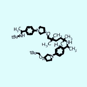 CC(NC(C)(C)C)c1ccc(N2CC[C@H](OCC(C)(C)CCC(C)(C)NC(C)c3ccc(N4CC[C@@H](OCC(C)(C)C)C4)cc3)C2)cc1